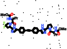 COC(=O)NC(C(=O)N1CCCC1c1ncc(-c2ccc(C#Cc3ccc(-c4cnc(C5CC(F)(F)CN5C(=O)C(NC(=O)OC)C(C)C)[nH]4)cc3)cc2)[nH]1)C(C)C